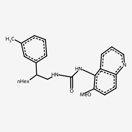 CCCCCCC(CNC(=O)Nc1c(OC)ccc2ncccc12)c1cccc(C)c1